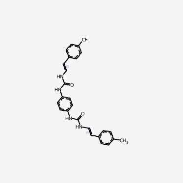 Cc1ccc(/C=C/NC(=O)Nc2ccc(NC(=O)N/C=C/c3ccc(C(F)(F)F)cc3)cc2)cc1